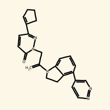 C=C(Cn1nc(C2=CCCC2)ccc1=O)N1CCc2c(-c3ccnnc3)cccc21